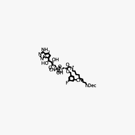 CCCCCCCCCCCCCCCCCCN(C)C(=O)[C@H](COP(=O)(O)OC[C@@H](OC#N)[C@@H](O)[C@@H](O)c1ccc2c(N)ncnn12)OCc1cc(F)cc(C#N)c1